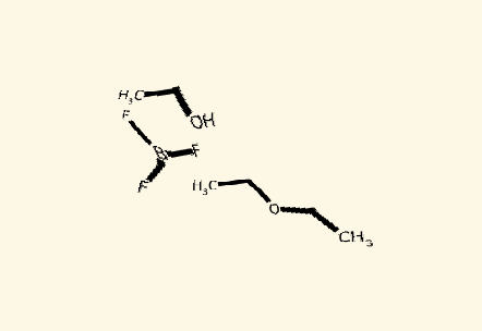 CCO.CCOCC.FB(F)F